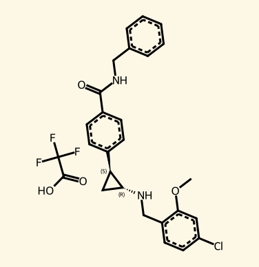 COc1cc(Cl)ccc1CN[C@@H]1C[C@H]1c1ccc(C(=O)NCc2ccccc2)cc1.O=C(O)C(F)(F)F